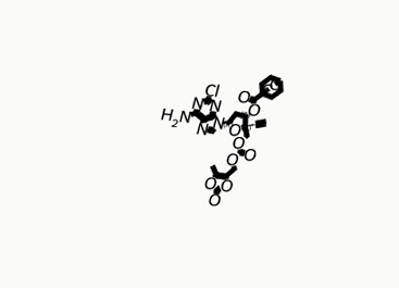 C#C[C@]1(COC(=O)OCc2oc(=O)oc2C)O[C@@H](n2cnc3c(N)nc(Cl)nc32)C[C@@H]1OC(=O)C12CCC(CC1)CC2